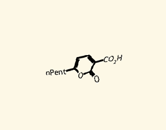 CCCCCc1ccc(C(=O)O)c(=O)o1